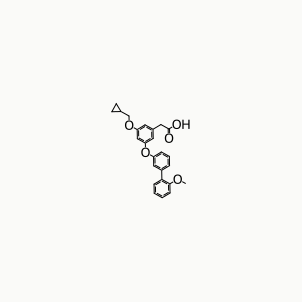 COc1ccccc1-c1cccc(Oc2cc(CC(=O)O)cc(OCC3CC3)c2)c1